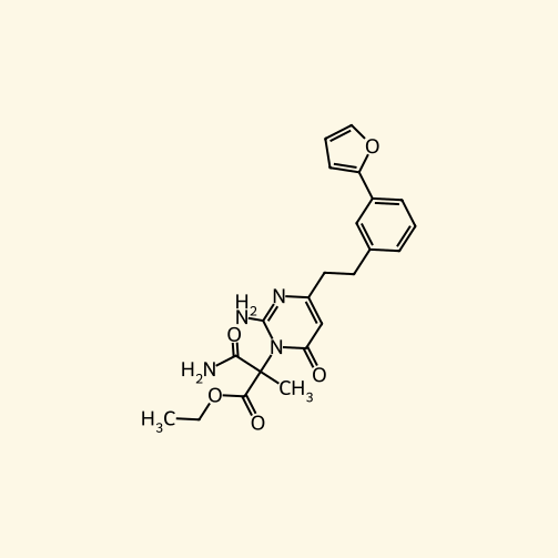 CCOC(=O)C(C)(C(N)=O)n1c(N)nc(CCc2cccc(-c3ccco3)c2)cc1=O